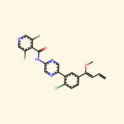 C=C/C=C(\OC)c1ccc(Cl)c(-c2cnc(NC(=O)c3c(F)cncc3F)cn2)c1